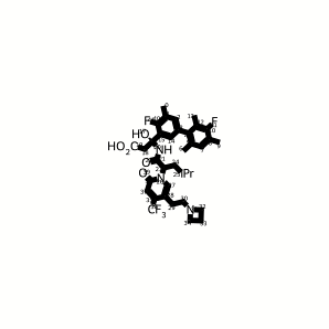 Cc1cc(-c2c(C)cc(C)c(F)c2C)cc([C@](O)(CC(=O)O)NC(=O)C(CC(C)C)n2cc(CCN3CCC3)c(C(F)(F)F)cc2=O)c1F